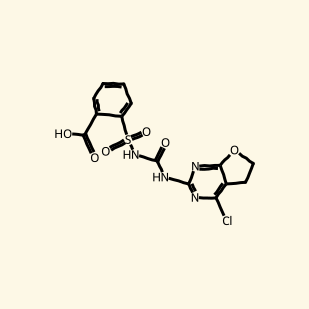 O=C(Nc1nc(Cl)c2c(n1)OCC2)NS(=O)(=O)c1ccccc1C(=O)O